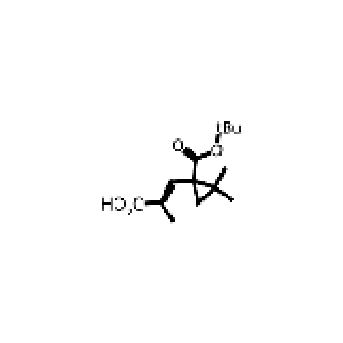 CC(=CC1(C(=O)OC(C)(C)C)CC1(C)C)C(=O)O